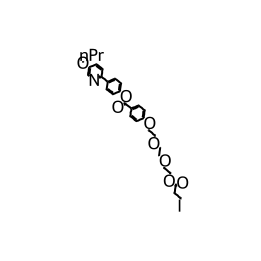 CCCOc1ccc(-c2ccc(OC(=O)c3ccc(OCCOCCOCCOC(=O)CCI)cc3)cc2)nc1